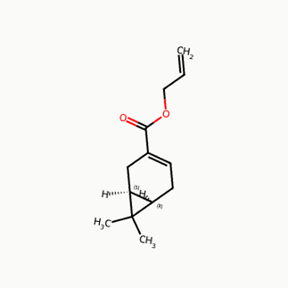 C=CCOC(=O)C1=CC[C@@H]2[C@H](C1)C2(C)C